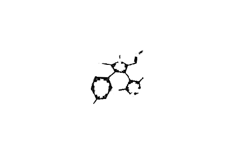 Cc1noc(C)c1-c1c(-c2ccc(O)cc2)c(Br)n(C)c1C=NO